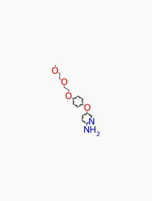 COCCOCCOc1ccc(Oc2ccc(N)nc2)cc1